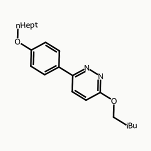 CCCCCCCOc1ccc(-c2ccc(OCC(C)CC)nn2)cc1